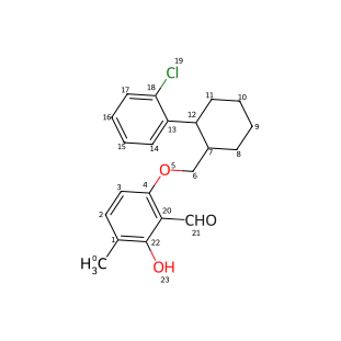 Cc1ccc(OCC2CCCCC2c2ccccc2Cl)c(C=O)c1O